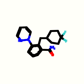 NC(=O)c1cccc(N2C=CC=CN2)c1CC1CCC(F)(F)CC1